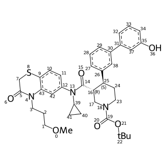 COCCCN1C(=O)CSc2ccc(N(C(=O)[C@H]3CN(C(=O)OC(C)(C)C)CC[C@@H]3c3cccc(-c4cccc(O)c4)c3)C3CC3)cc21